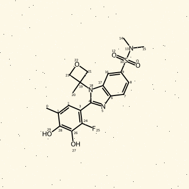 Cc1cc(-c2nc3ccc(S(=O)(=O)N(C)C)cc3n2C2(C)COC2)c(F)c(O)c1O